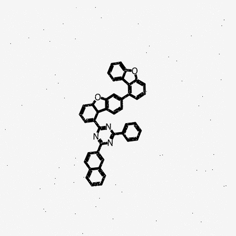 C1=CC2Oc3cc(-c4cccc5oc6ccccc6c45)ccc3C2C(c2nc(-c3ccccc3)nc(-c3ccc4ccccc4c3)n2)=C1